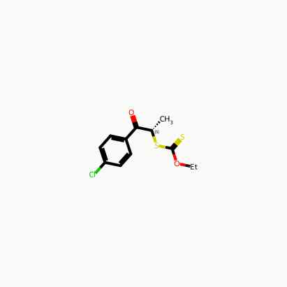 CCOC(=S)S[C@@H](C)C(=O)c1ccc(Cl)cc1